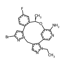 CCn1ncc2c1-c1cnc(N)c(c1)O[C@H](C)c1cc(F)ccc1-c1cc(Br)nn1C2